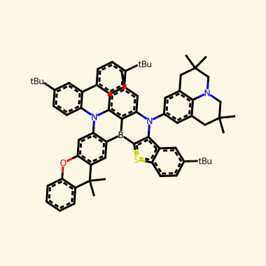 Cc1cc2c3c(c1)N(c1cc4c5c(c1)CC(C)(C)CN5CC(C)(C)C4)c1c(sc4ccc(C(C)(C)C)cc14)B3c1cc3c(cc1N2c1ccc(C(C)(C)C)cc1-c1ccc(C(C)(C)C)cc1)Oc1ccccc1C3(C)C